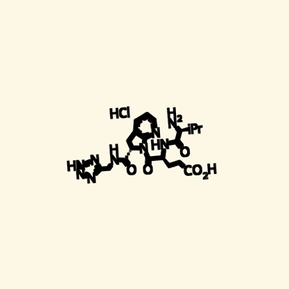 CC(C)[C@H](N)C(=O)N[C@@H](CCC(=O)O)C(=O)N1c2ncccc2C[C@H]1C(=O)NCc1nn[nH]n1.Cl